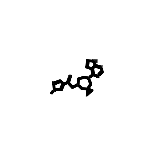 Cn1cc(C(=O)CN2CCN(c3ncnc4[nH]ccc34)CC3(CC3)C2)cn1